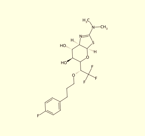 CN(C)C1=N[C@@H]2[C@@H](O)[C@H](O)C([C@@H](OCCCc3ccc(F)cc3)C(F)(F)F)O[C@@H]2S1